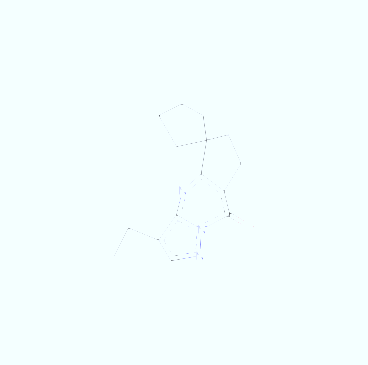 CCc1cnn2c(=O)c3c([nH]c12)C1(CCCC1)CC3